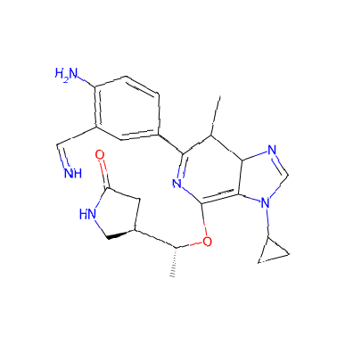 CC1C(c2ccc(N)c(C=N)c2)=NC(O[C@H](C)[C@H]2CNC(=O)C2)=C2C1N=CN2C1CC1